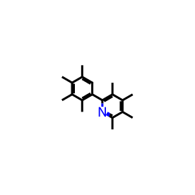 Cc1cc(-c2nc(C)c(C)c(C)c2C)c(C)c(C)c1C